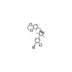 Cc1nn(Cc2ccc3c(c2)OCCCO3)c(C)c1-c1ccc(C#N)c(Cl)c1